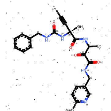 CCC(NC(=O)[C@@]([SiH3])(C#CC(C)C)NC(=O)NCc1ccccc1)C(=O)C(=O)NCc1ccc(OC)nc1